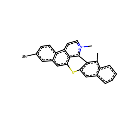 Cc1c2c(cc3ccccc13)Sc1cc3cc(C(C)(C)C)ccc3c3cc[n+](C)c-2c13